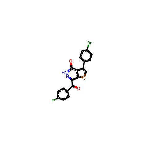 O=C(c1ccc(F)cc1)c1n[nH]c(=O)c2c(-c3ccc(Br)cc3)csc12